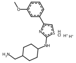 COc1cccc(-c2csc(NC3CCC(CN)CC3)n2)c1.Cl.[H+].[H+]